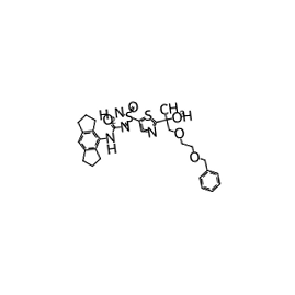 CC(O)(COCCOCc1ccccc1)c1ncc(S(N)(=O)=NC(=O)Nc2c3c(cc4c2CCC4)CCC3)s1